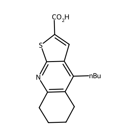 CCCCc1c2c(nc3sc(C(=O)O)cc13)CCCC2